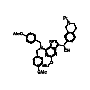 CCCCOc1nc(N(Cc2ccc(OC)cc2)Cc2ccc(OC)cc2)c2ncc(C(O)c3ccc4c(c3)CN(C(C)C)CC4)n2n1